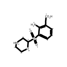 Nc1c(C(=O)O)cccc1S(=O)(=O)C1CNCCO1